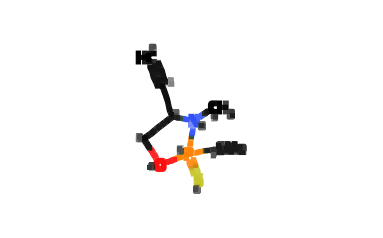 C#CC1COP(=S)(SC)N1C